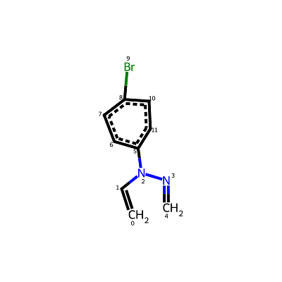 C=CN(N=C)c1ccc(Br)cc1